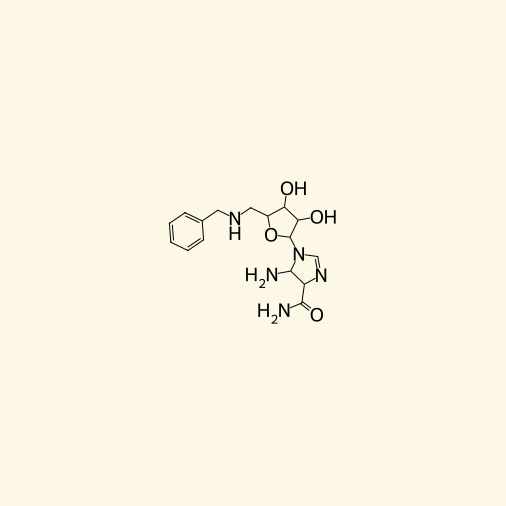 NC(=O)C1N=CN(C2OC(CNCc3ccccc3)C(O)C2O)C1N